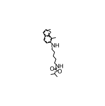 Cc1c(NCCCCCNS(=O)(=O)C(C)C)ccc2ccsc12